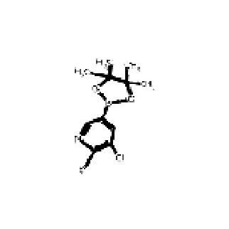 CC1(C)OB(c2cnc(Br)c(Cl)c2)OC1(C)C